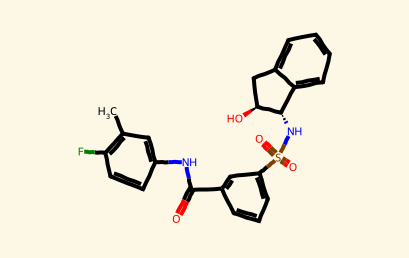 Cc1cc(NC(=O)c2cccc(S(=O)(=O)N[C@H]3c4ccccc4C[C@@H]3O)c2)ccc1F